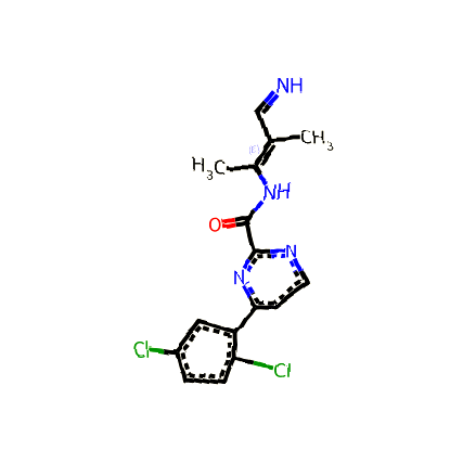 C/C(C=N)=C(/C)NC(=O)c1nccc(-c2cc(Cl)ccc2Cl)n1